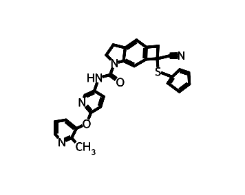 Cc1ncccc1Oc1ccc(NC(=O)N2CCc3cc4c(cc32)C(C#N)(Sc2ccccc2)C4)cn1